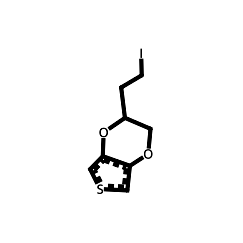 ICCC1COc2cscc2O1